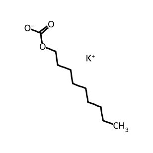 CCCCCCCCCOC(=O)[O-].[K+]